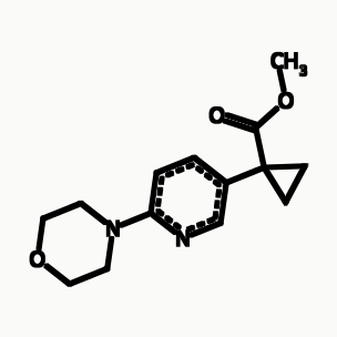 COC(=O)C1(c2ccc(N3CCOCC3)nc2)CC1